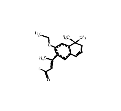 CCOc1cc2c(cc1C(C)=CC(=O)F)C=CCC2(C)C